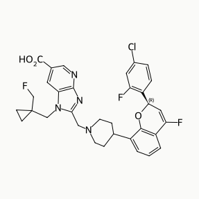 O=C(O)c1cnc2nc(CN3CCC(c4cccc5c4O[C@@H](c4ccc(Cl)cc4F)C=C5F)CC3)n(CC3(CF)CC3)c2c1